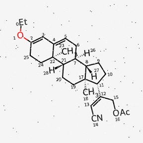 CCOC1=CC2=CC[C@H]3[C@@H]4CC[C@H](C(=CC#N)COC(C)=O)[C@@]4(C)CC[C@@H]3[C@@]2(C)CC1